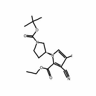 CCOC(=O)c1c(C#N)c(I)cn1[C@H]1CCN(C(=O)OC(C)(C)C)C1